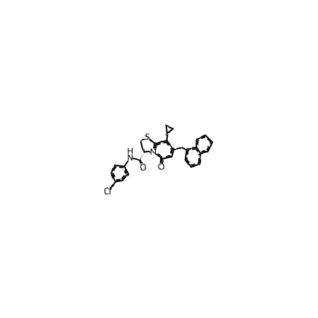 O=C(Nc1ccc(Cl)cc1)[C@@H]1CSc2c(C3CC3)c(Cc3cccc4ccccc34)cc(=O)n21